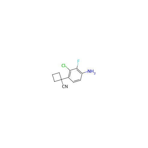 N#CC1(c2ccc(N)c(F)c2Cl)CCC1